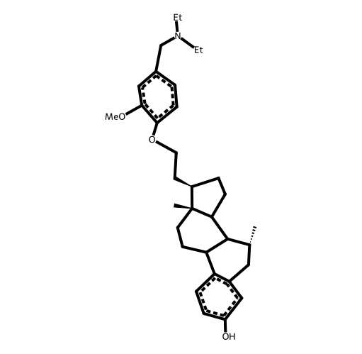 CCN(CC)Cc1ccc(OCC[C@H]2CCC3C4C(CC[C@@]32C)c2ccc(O)cc2C[C@H]4C)c(OC)c1